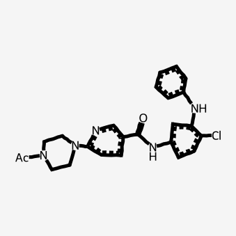 CC(=O)N1CCN(c2ccc(C(=O)Nc3ccc(Cl)c(Nc4ccccc4)c3)cn2)CC1